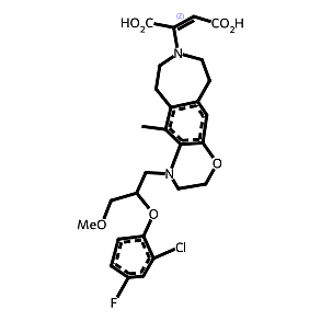 COCC(CN1CCOc2cc3c(c(C)c21)CCN(/C(=C\C(=O)O)C(=O)O)CC3)Oc1ccc(F)cc1Cl